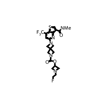 CNC(=O)c1csc2c(C(F)(F)F)cc(N3CC4(CN(C(=O)OC5CN(CCF)C5)C4)C3)nc12